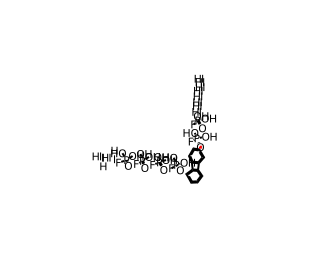 I.I.I.I.I.I.I.I.I.I.I.I.O=P(O)(O)F.O=P(O)(O)F.O=P(O)(O)F.O=P(O)(O)F.O=P(O)(O)F.O=P(O)(O)F.c1ccc2c(c1)-c1ccccc1-2